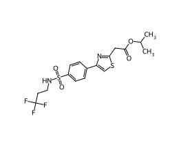 CC(C)OC(=O)Cc1nc(-c2ccc(S(=O)(=O)NCCC(F)(F)F)cc2)cs1